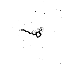 NS(=O)(=O)c1cccc(CCCCCCO)c1[N+](=O)[O-]